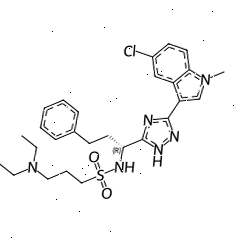 CCN(CC)CCCS(=O)(=O)N[C@H](CCc1ccccc1)c1nc(-c2cn(C)c3ccc(Cl)cc23)n[nH]1